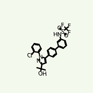 CC(C)(O)c1cc(-c2ccc(-c3cccc(NS(=O)(=O)C(F)(F)F)c3)cc2)n(-c2ccccc2Cl)n1